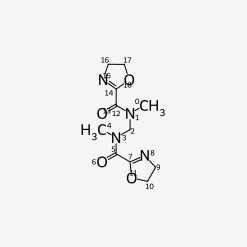 CN(CN(C)C(=O)C1=NCCO1)C(=O)C1=NCCO1